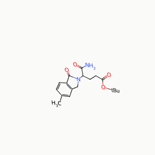 Cc1ccc2c(c1)CN(C(CCC(=O)OC(C)(C)C)C(N)=O)C2=O